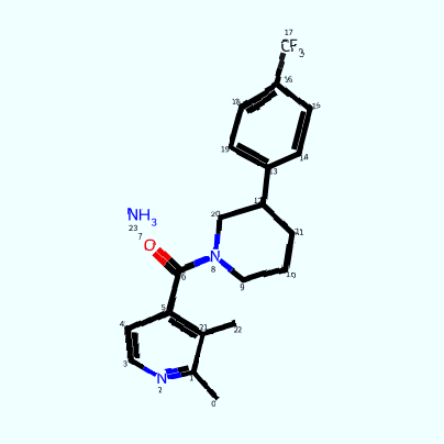 Cc1nccc(C(=O)N2CCCC(c3ccc(C(F)(F)F)cc3)C2)c1C.N